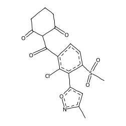 Cc1cc(-c2c(S(C)(=O)=O)ccc(C(=O)C3C(=O)CCCC3=O)c2Cl)on1